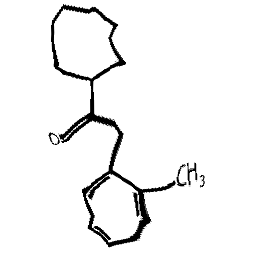 Cc1ccccc1CC(=O)C1CCCCC1